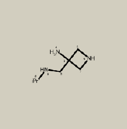 CC(C)NCC1(N)CNC1